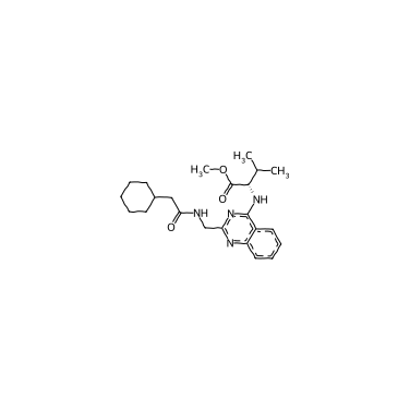 COC(=O)[C@@H](Nc1nc(CNC(=O)CC2CCCCC2)nc2ccccc12)C(C)C